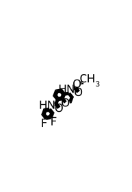 CCOC(=O)NC1CCOc2c(C(=O)Nc3ccc(F)c(F)c3)cccc21